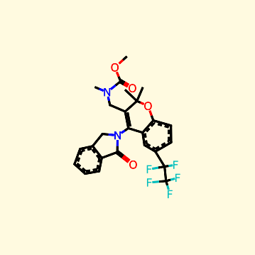 COC(=O)N(C)CC1=C(N2Cc3ccccc3C2=O)c2cc(C(F)(F)C(F)(F)F)ccc2OC1(C)C